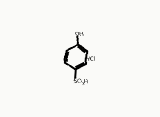 Cl.O=S(=O)(O)c1ccc(O)cc1